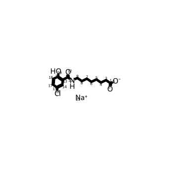 O=C([O-])CCCCCCCNC(=O)c1cc(Cl)ccc1O.[Na+]